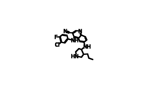 CCCC1CNCCC1Nc1ccc2ncc(C#N)c(Nc3ccc(F)c(Cl)c3)c2c1